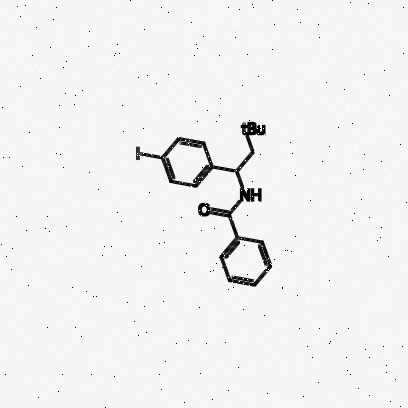 CC(C)(C)CC(NC(=O)c1ccccc1)c1ccc(I)cc1